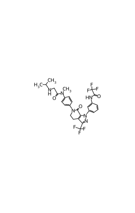 CC(C)NCC(=O)N(C)c1ccc(N2CCc3c(C(F)(F)F)nn(-c4cccc(NC(=O)C(F)(F)F)c4)c3C2=O)cc1